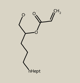 C=CC(=O)OC(C[O])CCCCCCCCCC